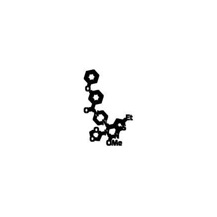 CCc1cc2c(s1)=NC(OC)N(C1COCO1)C=2N1CCN(C(=O)c2cccc(Oc3ccccc3)c2)CC1